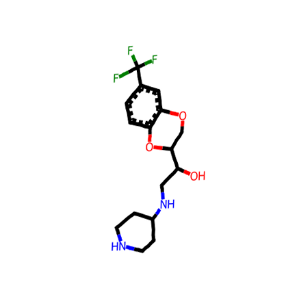 OC(CNC1CCNCC1)C1COc2cc(C(F)(F)F)ccc2O1